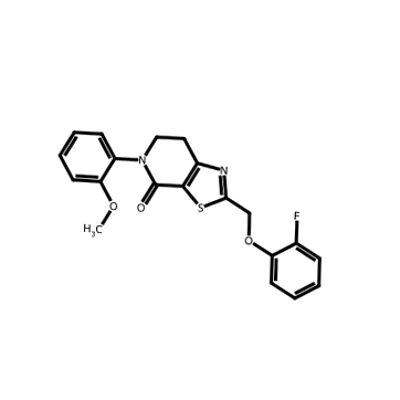 COc1ccccc1N1CCc2nc(COc3ccccc3F)sc2C1=O